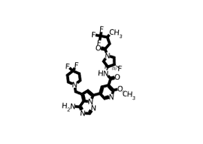 COc1ncc(-c2cc(CN3CCC(F)(F)CC3)c3c(N)ncnn23)cc1C(=O)N[C@@H]1CN(C(=O)CC(C)C(F)(F)F)C[C@@H]1F